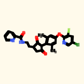 Cc1cc(Oc2ncc(Cl)cc2F)cc(C)c1C1C(=O)CC(CCNC(=O)c2ccccn2)C1=O